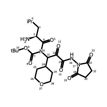 CC(C)C[C@H](N)C(=O)N(C(=O)OC(C)(C)C)C(C(=O)C(=O)NN1C(=O)CCC1=O)C1CCOCC1